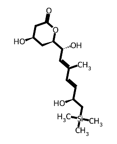 CC(/C=C/[C@H](O)C[Si](C)(C)C)=C\[C@@H](O)[C@H]1C[C@@H](O)CC(=O)O1